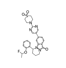 CC(F)Oc1ccccc1C1CCCn2c(=O)c3ccc(-c4cnc(N5CCS(=O)(=O)CC5)nc4)cc3n21